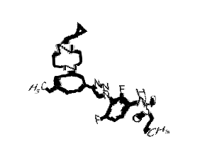 CCCS(=O)(=O)Nc1ccc(F)c(-n2cc(C3=CCC(CC)=CC(N4CCN(CC5CC5)CC4)=C3)nn2)c1F